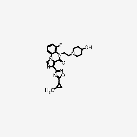 CC1CC1c1nc(-c2ncn3c2c(=O)n(CCN2CCC(O)CC2)c2c(F)cccc23)no1